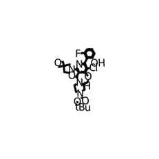 CC(C)(C)OC(=O)N1CCN2C(=O)c3c(N4CCC5(COC5)C4)nc(-c4c(O)cccc4F)c(Cl)c3OC[C@H]2C1